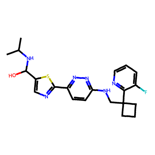 CC(C)NC(O)c1cnc(-c2ccc(NCC3(c4ncccc4F)CCC3)nn2)s1